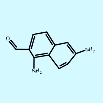 Nc1ccc2c(N)c(C=O)ccc2c1